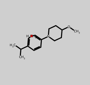 C\C=C(/C=C\C(=C/N)N1CCC(OC)CC1)C(C)C